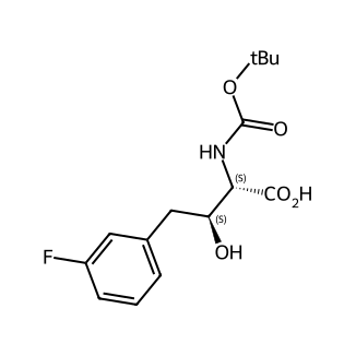 CC(C)(C)OC(=O)N[C@H](C(=O)O)[C@@H](O)Cc1cccc(F)c1